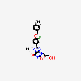 Cc1ccc(COc2ccc(-c3nc4c(c(=O)[nH]c(=O)n4CC(O)CO)n3C)cc2F)cc1